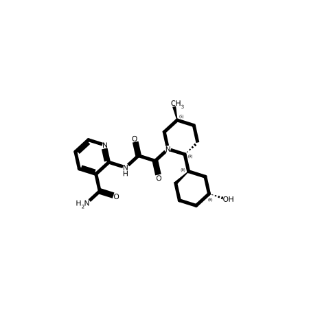 C[C@H]1CC[C@H]([C@@H]2CCC[C@@H](O)C2)N(C(=O)C(=O)Nc2ncccc2C(N)=O)C1